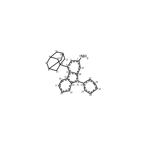 Nc1cc(C23CC4CC(CC(C4)C2)C3)c2c3ccccc3n(-c3ccccc3)c2c1